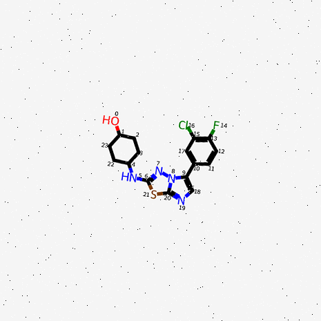 OC1CCC(Nc2nn3c(-c4ccc(F)c(Cl)c4)cnc3s2)CC1